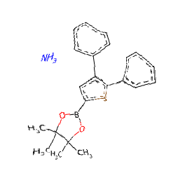 CC1(C)OB(c2cc(-c3ccccc3)c(-c3ccccc3)s2)OC1(C)C.N